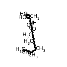 C/C(=C/CC/C(C)=C/CC/C=C(\C)CC/C=C(\C)CCC(=O)OCC(=O)NCCc1cc(O)c(O)cc1C)CCCC(C)C